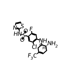 N[C@@H]1CC=C(C(F)(F)F)C[C@H]1Nc1cc(F)c(S(=O)(=O)Nc2nccs2)cc1Cl